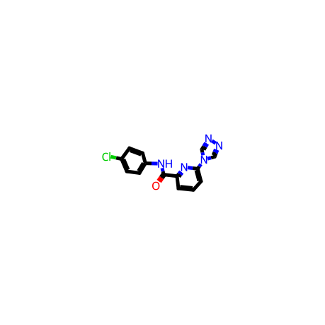 O=C(Nc1ccc(Cl)cc1)c1cccc(-n2cnnc2)n1